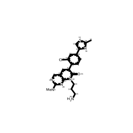 CNc1ncc2cc(-c3ccc(-c4csc(C)n4)cc3Cl)c(=O)n(CCCN)c2n1